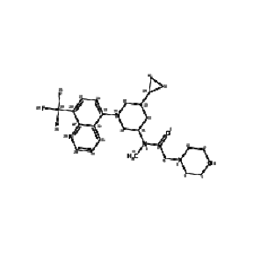 CN(C(=O)CN1CCOCC1)C1CC(C2CC2)CN(c2ccc(C(F)(F)F)c3ncccc23)C1